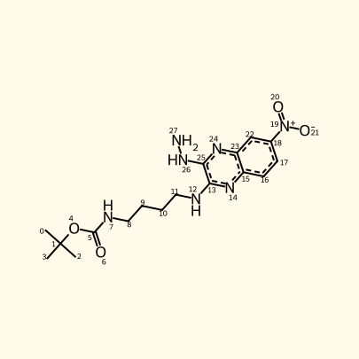 CC(C)(C)OC(=O)NCCCCNc1nc2ccc([N+](=O)[O-])cc2nc1NN